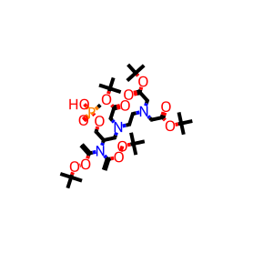 C=C(OOC(C)(C)C)N(C(=C)OOC(C)(C)C)C(COP(C)(=O)O)CN(CCN(CC(=O)OC(C)(C)C)CC(=O)OC(C)(C)C)CC(=O)OC(C)(C)C